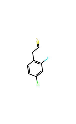 Fc1cc(Cl)ccc1C[C]=S